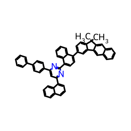 CC1(C)c2ccc(-c3ccc(-c4nc(-c5ccc(-c6ccccc6)cc5)cc(-c5cccc6ccccc56)n4)c4ccccc34)cc2-c2cc3ccccc3cc21